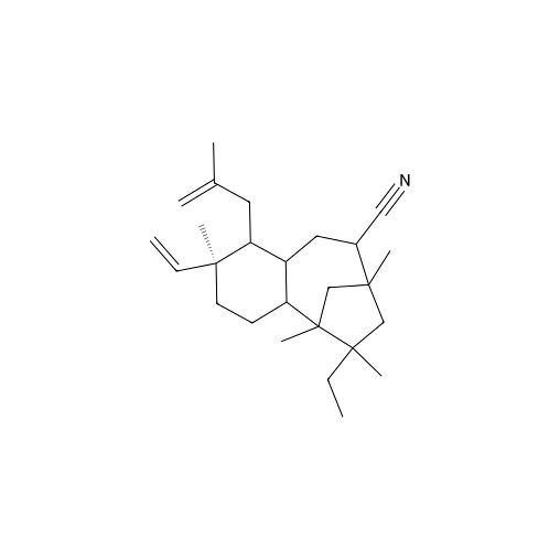 C=C[C@]1(C)CCC2C(CC(C#N)C3(C)CC(C)(CC)C2(C)C3)C1CC(=C)C